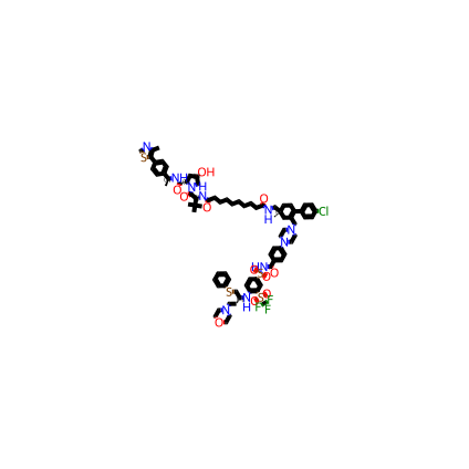 Cc1ncsc1-c1ccc([C@H](C)NC(=O)[C@@H]2C[C@@H](O)CN2C(=O)[C@@H](NC(=O)CCCCCCCCC(=O)NC[C@@]2(C)CCC(c3ccc(Cl)cc3)=C(CN3CCN(c4ccc(C(=O)NS(=O)(=O)c5ccc(N[C@H](CCN6CCOCC6)CSc6ccccc6)c(S(=O)(=O)C(F)(F)F)c5)cc4)CC3)C2)C(C)(C)C)cc1